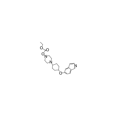 CCOC(=O)ON1CCN(C2CCC(Oc3ccc4cnccc4c3)CC2)CC1